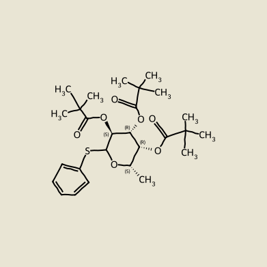 C[C@@H]1OC(Sc2ccccc2)[C@@H](OC(=O)C(C)(C)C)[C@H](OC(=O)C(C)(C)C)[C@@H]1OC(=O)C(C)(C)C